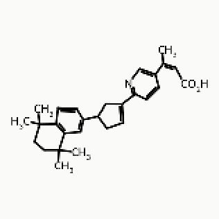 C/C(=C/C(=O)O)c1ccc(C2=CCC(c3ccc4c(c3)C(C)(C)CCC4(C)C)C2)nc1